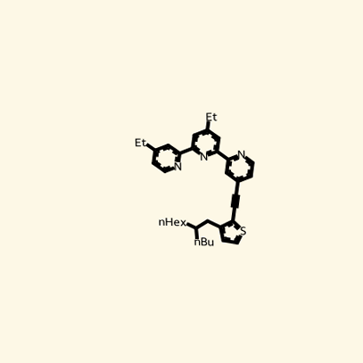 CCCCCCC(CCCC)Cc1ccsc1C#Cc1ccnc(-c2cc(CC)cc(-c3cc(CC)ccn3)n2)c1